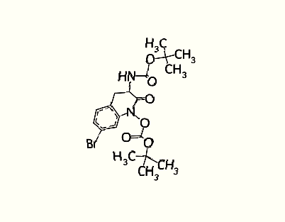 CC(C)(C)OC(=O)NC1Cc2ccc(Br)cc2N(OC(=O)OC(C)(C)C)C1=O